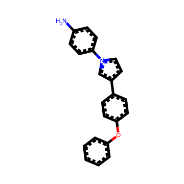 Nc1ccc(-n2ccc(-c3ccc(Oc4ccccc4)cc3)c2)cc1